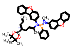 C=C/C=C(\CC=C(C)N(c1ccc2oc3ccccc3c2c1)P(c1ccccc1)N(C)c1ccc2oc3ccccc3c2c1)B1OC(C)(C)C(C)(CC)O1